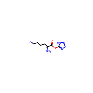 NCCCC[C@H](N)C(=O)Oc1nnn[nH]1